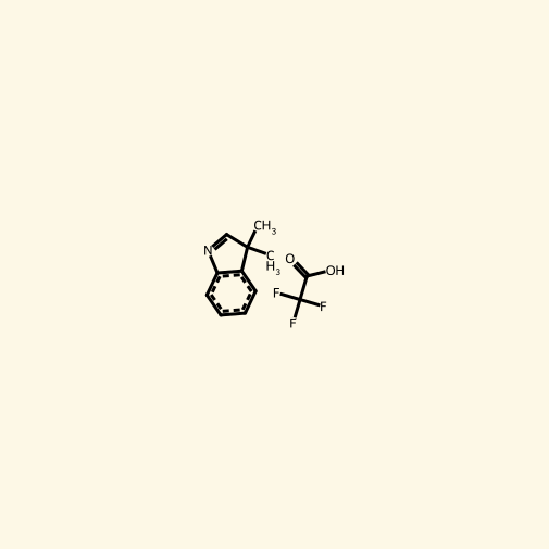 CC1(C)C=Nc2ccccc21.O=C(O)C(F)(F)F